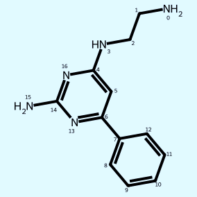 NCCNc1cc(-c2ccccc2)nc(N)n1